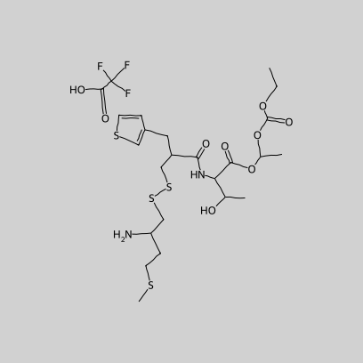 CCOC(=O)OC(C)OC(=O)C(NC(=O)C(CSSCC(N)CCSC)Cc1ccsc1)C(C)O.O=C(O)C(F)(F)F